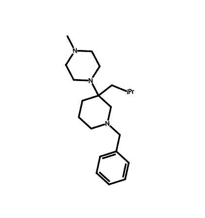 CC(C)CC1(N2CCN(C)CC2)CCCN(Cc2ccccc2)C1